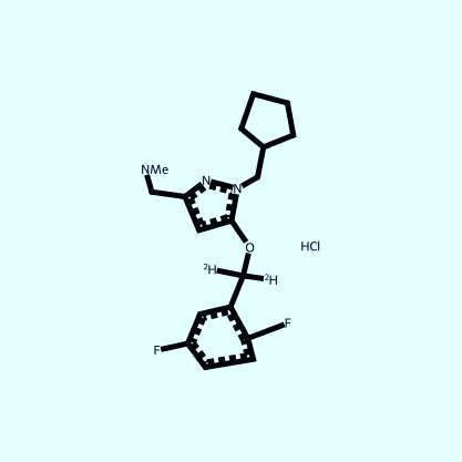 Cl.[2H]C([2H])(Oc1cc(CNC)nn1CC1CCCC1)c1cc(F)ccc1F